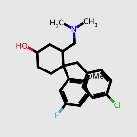 COc1ccc(F)cc1C1(Cc2ccc(Cl)cc2)CCC(O)CC1CN(C)C